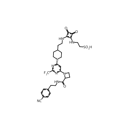 N#Cc1ccc(CCNC(=O)C2CCN2c2cc(N3CCC(CCNc4c(NCCS(=O)(=O)O)c(=O)c4=O)CC3)nc(C(F)(F)F)n2)cc1